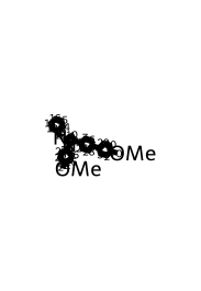 COc1ccc(-c2ccc(C3C/C(=N\c4ccccc4)N3c3ccc(OC)cc3)cc2)cc1